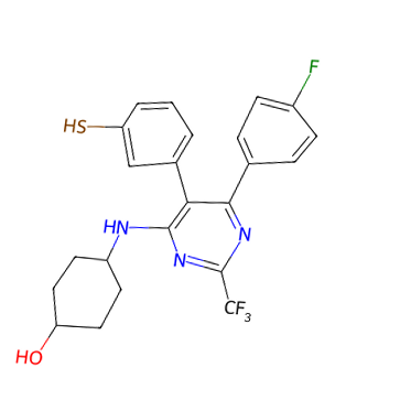 OC1CCC(Nc2nc(C(F)(F)F)nc(-c3ccc(F)cc3)c2-c2cccc(S)c2)CC1